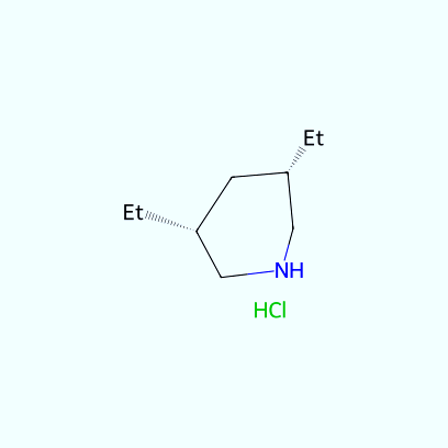 CC[C@@H]1CNC[C@H](CC)C1.Cl